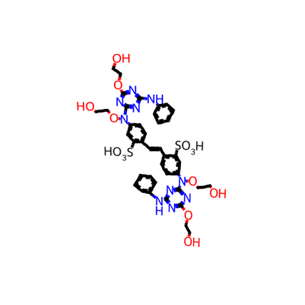 O=S(=O)(O)c1cc(N(OCCO)c2nc(Nc3ccccc3)nc(OCCO)n2)ccc1C=Cc1ccc(N(OCCO)c2nc(Nc3ccccc3)nc(OCCO)n2)cc1S(=O)(=O)O